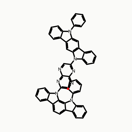 c1ccc(-n2c3ccccc3c3cc4c(cc32)c2ccccc2n4-c2cnc3nc(-n4c5ccccc5c5ccc6c7ccccc7n(-c7ccccc7)c6c54)cnc3n2)cc1